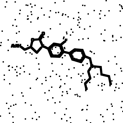 CC(=O)NCC1CN(c2ccc(-c3ccc(CN(CCCF)CCCF)cc3)c(F)c2)C(=O)O1